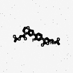 CC(=O)NCC1CN(c2ccc(N3CC4OCCN(C(=O)COC(C)=O)C4C3)c(F)c2)C(=O)O1